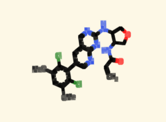 C=CC(=O)NC1COCC1Nc1ncc2cc(-c3c(Cl)c(OC)cc(OC)c3Cl)cnc2n1